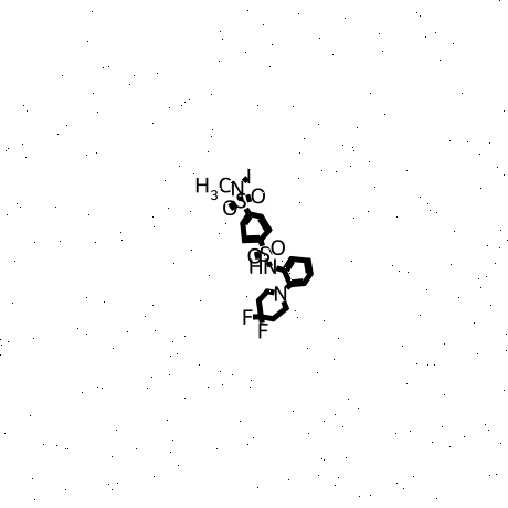 CN(I)S(=O)(=O)c1ccc(S(=O)(=O)Nc2ccccc2N2CCC(F)(F)CC2)cc1